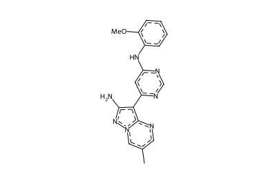 COc1ccccc1Nc1cc(-c2c(N)nn3cc(C)cnc23)ncn1